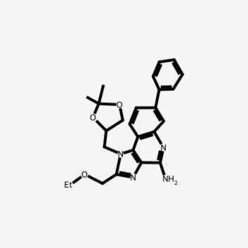 CCOCc1nc2c(N)nc3cc(-c4ccccc4)ccc3c2n1CC1COC(C)(C)O1